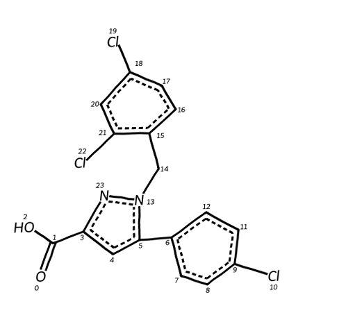 O=C(O)c1cc(-c2ccc(Cl)cc2)n(Cc2ccc(Cl)cc2Cl)n1